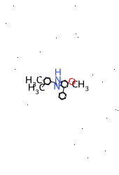 COc1cc(-c2ccccc2)c2nc(-c3ccc(C)c(C)c3)[nH]c2c1